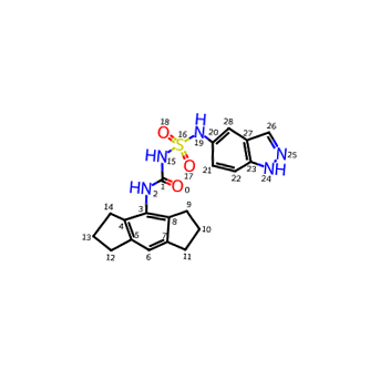 O=C(Nc1c2c(cc3c1CCC3)CCC2)NS(=O)(=O)Nc1ccc2[nH]ncc2c1